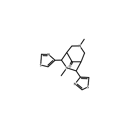 CN1CC2C(=O)C(C1)C(c1cscn1)N(C)C2c1cscn1